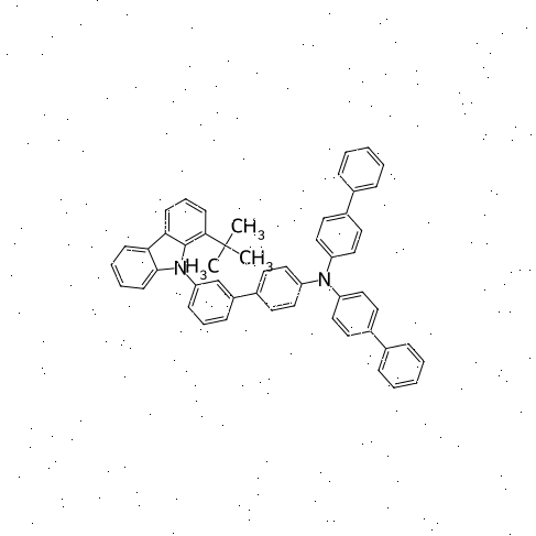 CC(C)(C)c1cccc2c3ccccc3n(-c3cccc(-c4ccc(N(c5ccc(-c6ccccc6)cc5)c5ccc(-c6ccccc6)cc5)cc4)c3)c12